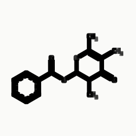 CC1=C(C)C(=O)C(C)C(OC(=O)c2ccccc2)O1